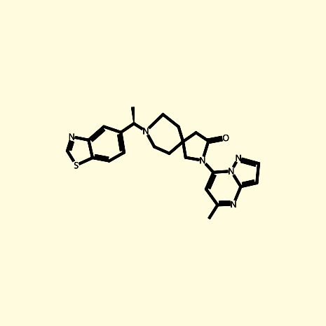 Cc1cc(N2CC3(CCN([C@H](C)c4ccc5scnc5c4)CC3)CC2=O)n2nccc2n1